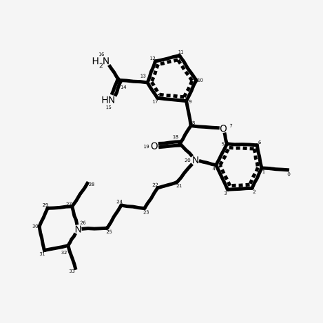 Cc1ccc2c(c1)OC(c1cccc(C(=N)N)c1)C(=O)N2CCCCCN1C(C)CCCC1C